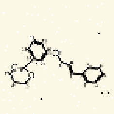 C(=Cc1ccccc1)COc1cccc(C2OCCCO2)c1